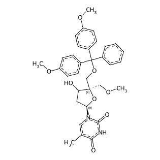 COC[C@]1(COC(c2ccccc2)(c2ccc(OC)cc2)c2ccc(OC)cc2)O[C@@H](n2cc(C)c(=O)[nH]c2=O)CC1O